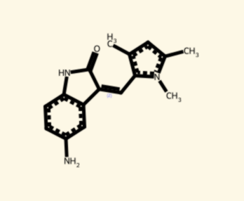 Cc1cc(C)n(C)c1/C=C1\C(=O)Nc2ccc(N)cc21